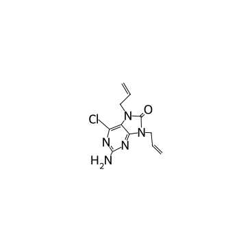 C=CCn1c(=O)n(CC=C)c2c(Cl)nc(N)nc21